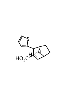 CN1C2CCC1C(c1cccs1)C(C(=O)O)C2